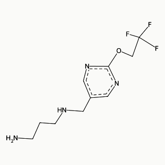 NCCCNCc1cnc(OCC(F)(F)F)nc1